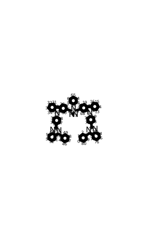 c1ccc(-c2nc(-c3ccc(-n4c5ccccc5c5ccc(-c6nnc(-c7ccc8c9ccccc9n(-c9ccc(-c%10nc(-c%11ccccc%11)c%11ccccc%11n%10)cc9)c8c7)n6-c6ccccc6)cc54)cc3)nc3ccccc23)cc1